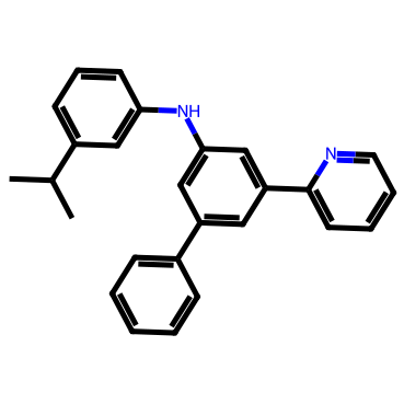 CC(C)c1cccc(Nc2cc(-c3ccccc3)cc(-c3ccccn3)c2)c1